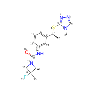 C[C@H](Sc1nncn1C)c1cccc(NC(=O)N2CC(C)(F)C2)c1